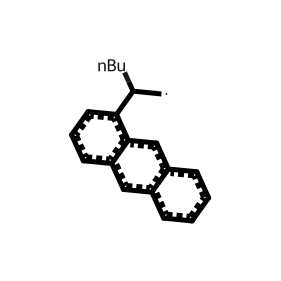 [CH2]C(CCCC)c1cccc2cc3ccccc3cc12